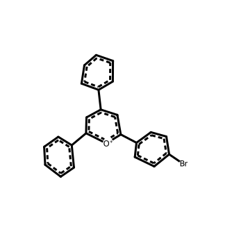 Brc1ccc(-c2cc(-c3ccccc3)cc(-c3ccccc3)[o+]2)cc1